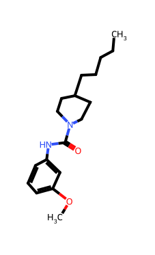 CCCCCC1CCN(C(=O)Nc2cccc(OC)c2)CC1